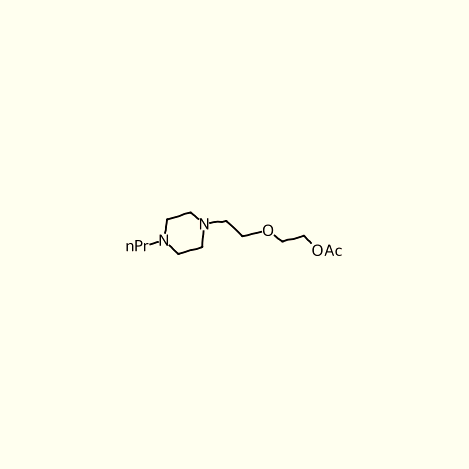 CCCN1CCN(CCOCCOC(C)=O)CC1